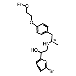 CCOCCOc1ccc(C[C@@H](C)NCC(O)c2cccc(Br)n2)cc1